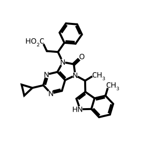 Cc1cccc2[nH]cc(C(C)n3c(=O)n(C(CC(=O)O)c4ccccc4)c4nc(C5CC5)ncc43)c12